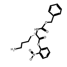 NCCCC[C@H](NC(=O)OCc1ccccc1)C(=O)Oc1ccccc1[N+](=O)[O-]